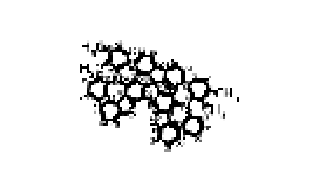 Cc1cccc(N(c2ccccc2)c2cc3c(c4sc5ccccc5c24)-c2c(cc(N(c4ccccc4)c4cccc(C)c4C)c4c2sc2ccccc24)C32c3ccccc3-c3cccnc32)c1C